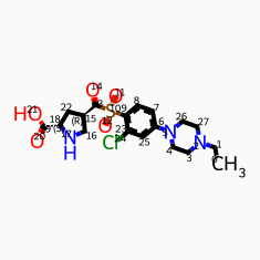 CCN1CCN(c2ccc(S(=O)(=O)C(=O)[C@H]3CN[C@H](C(=O)O)C3)c(Cl)c2)CC1